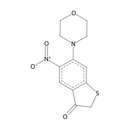 O=C1CSc2cc(N3CCOCC3)c([N+](=O)[O-])cc21